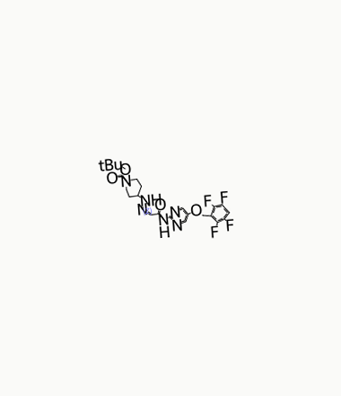 CC(C)(C)OC(=O)N1CCC(N/N=C\C(=O)Nc2ncc(OCc3c(F)c(F)cc(F)c3F)cn2)CC1